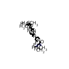 C=N/C(=C(F)\C(=C/C)C(=O)N1CCC(N2CC(CC#N)(n3cc(B4OC(C)(C)C(C)(C)O4)cn3)C2)CC1)C(F)(F)F